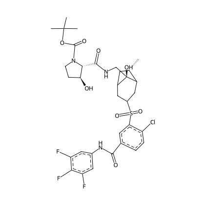 C[C@H]1CC2CC(S(=O)(=O)c3cc(C(=O)Nc4cc(F)c(F)c(F)c4)ccc3Cl)CC1[C@@]2(O)CNC(=O)[C@@H]1[C@@H](O)CCN1C(=O)OC(C)(C)C